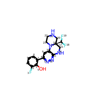 Oc1c(F)cccc1-c1cc2c(nn1)NC[C@@]1(C(F)F)CNCCN21